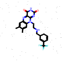 Cc1cc2nc3c(=O)[nH]c(=O)nc-3n(CCNCC3C=C(C(F)(F)F)C=CC3)c2cc1C